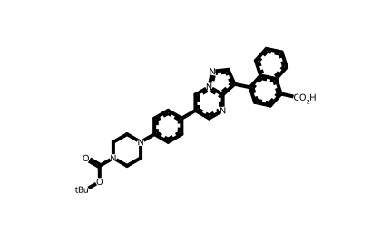 CC(C)(C)OC(=O)N1CCN(c2ccc(-c3cnc4c(-c5ccc(C(=O)O)c6ccccc56)cnn4c3)cc2)CC1